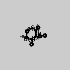 O=C1COc2ccc(cc2)C[C@@H](C(=O)O)NC(=O)[C@@H](CCc2ccccc2)NC(=O)[C@H](Cc2ccc(-c3ccccc3)cc2)NC(=O)[C@@H](Cc2ccncc2)N1